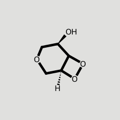 O[C@@H]1COC[C@@H]2OOC12